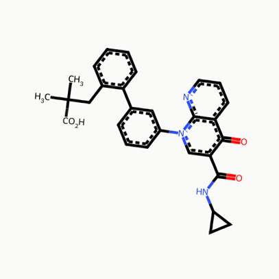 CC(C)(Cc1ccccc1-c1cccc(-n2cc(C(=O)NC3CC3)c(=O)c3cccnc32)c1)C(=O)O